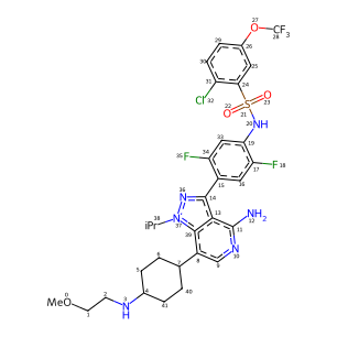 COCCNC1CCC(c2cnc(N)c3c(-c4cc(F)c(NS(=O)(=O)c5cc(OC(F)(F)F)ccc5Cl)cc4F)nn(C(C)C)c23)CC1